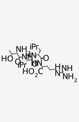 CC(C)C[C@H](NC(=O)[C@@H](NC(=O)[C@@H](N)C(C)O)C(C)C)C(=O)N[C@@H](CCCNC(=N)N)C(=O)O